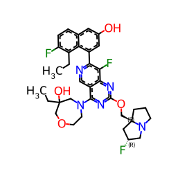 CCc1c(F)ccc2cc(O)cc(-c3ncc4c(N5CCOCC(O)(CC)C5)nc(OC[C@@]56CCCN5C[C@H](F)C6)nc4c3F)c12